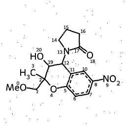 COCC1(C)Oc2ccc([N+](=O)[O-])cc2C(N2CCCC2=O)C1O